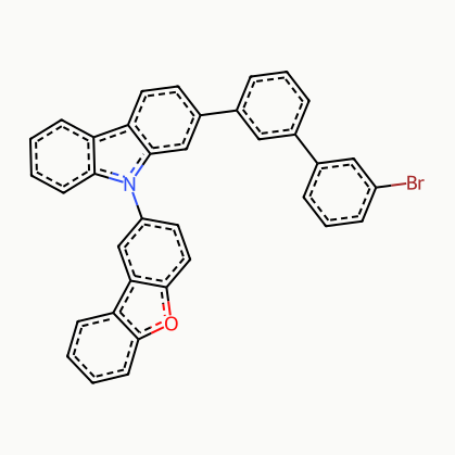 Brc1cccc(-c2cccc(-c3ccc4c5ccccc5n(-c5ccc6oc7ccccc7c6c5)c4c3)c2)c1